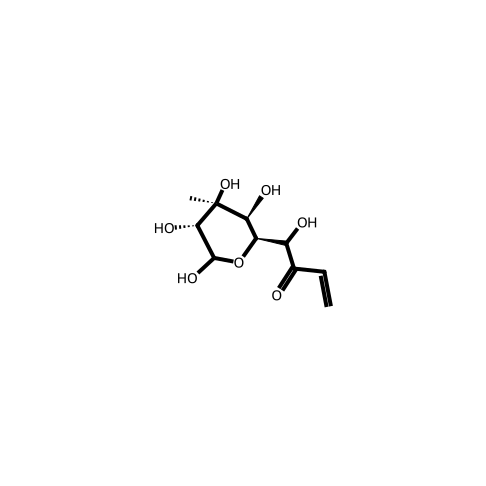 C=CC(=O)C(O)[C@H]1OC(O)[C@H](O)[C@@](C)(O)[C@H]1O